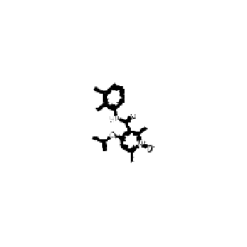 Cc1cccc(NC(=O)c2c(OC(C)C)cc(C)[n+]([O-])c2C)c1C